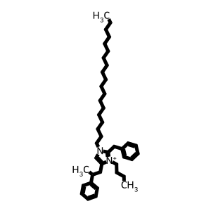 CCCCCCCCCCCCCCCCCCCn1cc(CC(C)c2ccccc2)[n+](CCCC)c1Cc1ccccc1